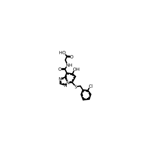 O=C(O)CNC(=O)c1c(O)cc(SCc2ccccc2Cl)n2ncnc12